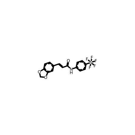 O=C(C=Cc1ccc2c(c1)OCO2)Nc1ccc(S(F)(F)(F)(F)F)cc1